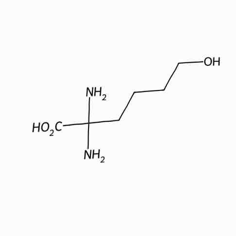 NC(N)(CCCCO)C(=O)O